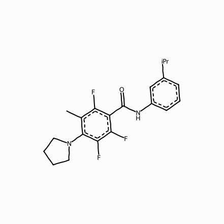 Cc1c(F)c(C(=O)Nc2cccc(C(C)C)c2)c(F)c(F)c1N1CCCC1